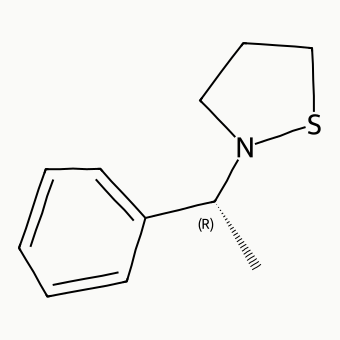 C[C@H](c1ccccc1)N1CCCS1